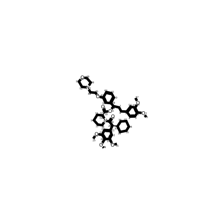 COc1ccc(CCC(OC(=O)[C@@H]2CCCCN2C(=O)[C@H](c2cc(OC)c(OC)c(OC)c2)C2CCCCC2)c2cccc(OCCN3CCOCC3)c2)cc1OC